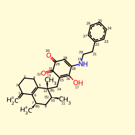 C=C1CCCC2=C1[C@H](C)C[C@H](C)[C@@]2(C)CC1=C(O)C(NCCc2ccccc2)=CC(=O)C1=O